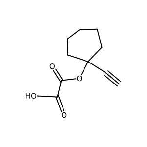 C#CC1(OC(=O)C(=O)O)CCCCC1